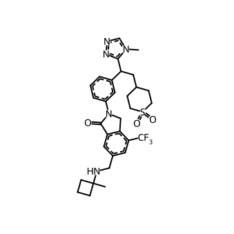 Cn1cnnc1C(CC1CCS(=O)(=O)CC1)c1cccc(N2Cc3c(cc(CNC4(C)CCC4)cc3C(F)(F)F)C2=O)c1